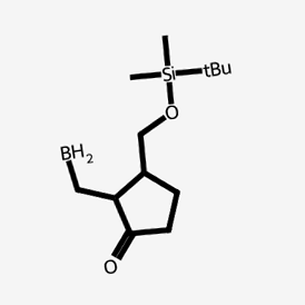 BCC1C(=O)CCC1CO[Si](C)(C)C(C)(C)C